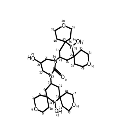 O=C1N(C2CC3(CCOCC3)N(O)C3(CCOCC3)C2)CC(O)CN1C1CC2(CCOCC2)N(O)C2(CCOCC2)C1